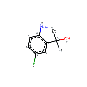 CCC(O)(CC)c1cc(F)ccc1N